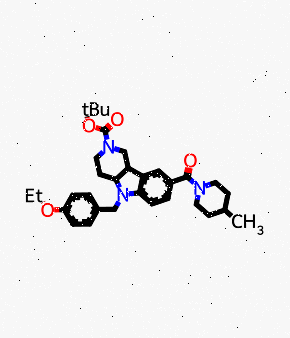 CCOc1ccc(CN2c3ccc(C(=O)N4CCC(C)CC4)cc3C3CN(C(=O)OC(C)(C)C)CCC32)cc1